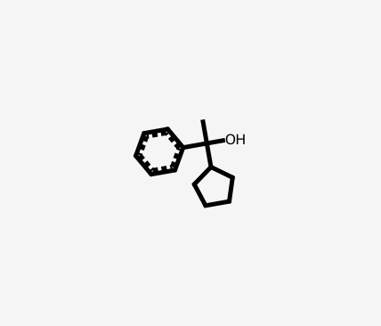 CC(O)(c1ccccc1)C1CCCC1